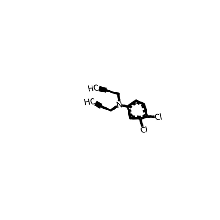 C#CCN(CC#C)c1ccc(Cl)c(Cl)c1